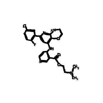 CN(C)CCOC(=O)c1cnccc1Nc1cc(-c2cc(Cl)ccc2F)nc2c1OCCN2